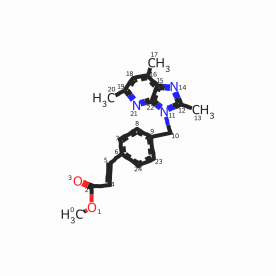 COC(=O)/C=C/c1ccc(Cn2c(C)nc3c(C)cc(C)nc32)cc1